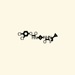 O=C(COc1ccc(Cl)c(Cl)c1)NC12CC(NC(=O)c3nc(C4CC4)cs3)(C1)C2